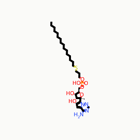 CCCCCCCCCCCCCCCCSCCCOP(=O)(O)OC[C@H]1O[C@@](C)(c2ccc3c(N)ncnn23)[C@H](O)[C@@H]1O